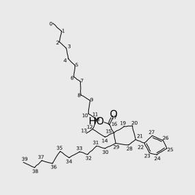 CCCCCCCCCCCCC(C)CC1(C(=O)O)CCC(c2ccccc2)CC1CCCCCCCCCC